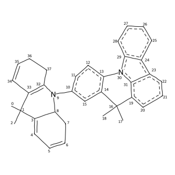 CC1(C)C2=CC=CCC2N(c2ccc3c(c2)C(C)(C)c2cccc4c5ccccc5n-3c24)C2=C1C=CCC2